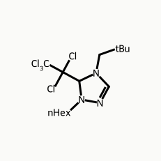 CCCCCCN1N=CN(CC(C)(C)C)C1C(Cl)(Cl)C(Cl)(Cl)Cl